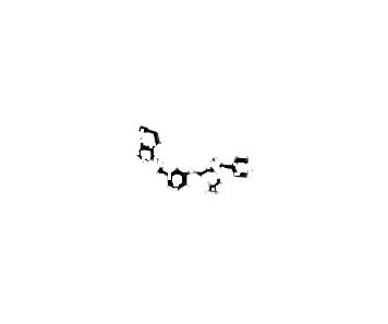 C#C/C=C\C1=C(C)CCC1NC(=O)c1cccc(NCc2nnc(-c3ccncc3)n2CC(F)(F)F)c1